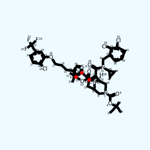 CC(C)(C)OC(=O)N1CC2CC(c3nc(CCCOc4cc(C(F)(F)F)ccc4Cl)cs3)=C(C(=O)N(Cc3cccc(Cl)c3Cl)C3CC3)[C@@H](C1)N2C(=O)OC(C)(C)C